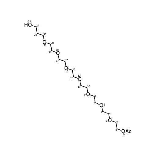 CC(=O)OCCOCCOCCOCCOCCOCCOCCOCCCO